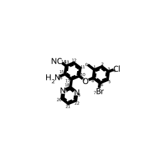 Cc1cc(Cl)cc(Br)c1Oc1ccc(C#N)c(N)c1-c1ncccn1